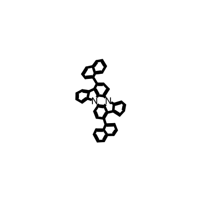 c1ccc2c(-c3ccc4c5c3c3ccccc3n5c3ccc(-c5cccc6ccccc56)c5c6ccccc6n4c53)cccc2c1